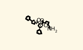 NCc1ccc(C(=O)N2C[C@@H](c3ccccc3)C[C@H]2C(=O)N2CCC(c3ccccc3)C2)o1